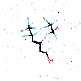 FC(F)(F)C(F)(F)I.OCCC(I)=CC(F)(F)C(F)(F)F